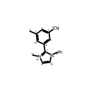 Cc1cc(C#N)cc(-c2n(C(C)C)cc[n+]2C)c1